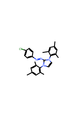 Cc1cc(C)c(N2C=CN(c3c(C)cc(C)cc3C)C2/N=N/c2ccc(Cl)cc2)c(C)c1